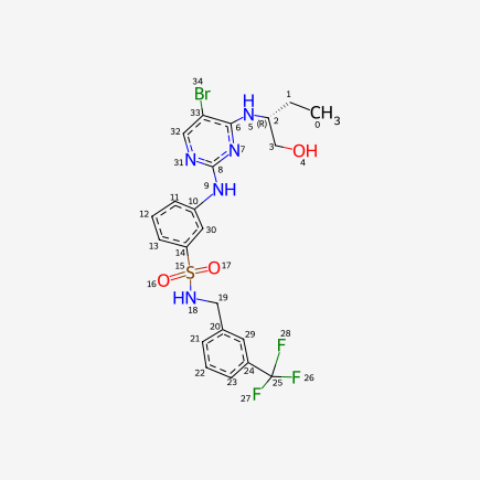 CC[C@H](CO)Nc1nc(Nc2cccc(S(=O)(=O)NCc3cccc(C(F)(F)F)c3)c2)ncc1Br